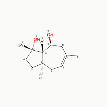 CC1=CC[C@H]2CC[C@@](O)(C(C)C)[C@@H]2[C@@H](O)C1